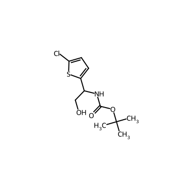 CC(C)(C)OC(=O)NC(CO)c1ccc(Cl)s1